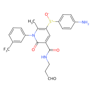 Cc1c([S+]([O-])c2ccc(N)cc2)cc(C(=O)NCCC=O)c(=O)n1-c1cccc(C(F)(F)F)c1